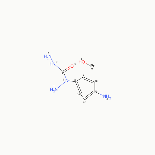 CC(C)O.NNC(=O)N(N)c1ccc(N)cc1